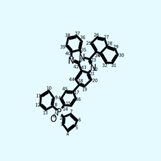 O=P(c1ccccc1)(c1ccccc1)c1ccc(-c2ccc3nc(-c4cccc5ccccc45)n4c5ccccc5nc4c3c2)cc1